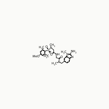 COc1cc(C)c(S(=O)(=O)N(C)CC(=O)NCC(=O)N(C)Cc2ccc3nc(N)n(C)c3c2)c(C)c1